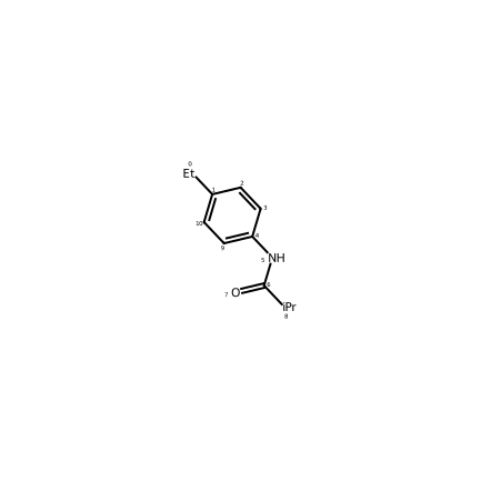 [CH2]Cc1ccc(NC(=O)C(C)C)cc1